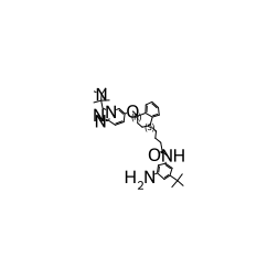 CN(C)C(C)(C)c1nnc2ccc(O[C@@H]3CC[C@H](CCCC(=O)Nc4cc(N)cc(C(C)(C)C)c4)c4ccccc43)cn12